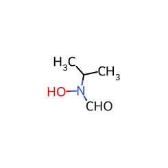 CC(C)N(O)C=O